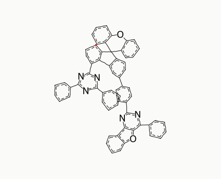 c1ccc(-c2nc(-c3ccccc3)nc(-c3cccc4c3-c3cc(-c5ccc(-c6nc(-c7ccccc7)c7oc8ccccc8c7n6)cc5)ccc3C43c4ccccc4Oc4ccccc43)n2)cc1